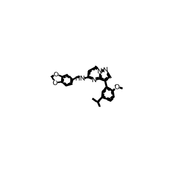 COc1ccc(C(C)C)cc1-c1cnn2ccc(NCc3ccc4c(c3)OCO4)nc12